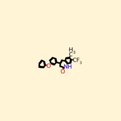 Cc1cc2c(cc1C(F)(F)F)NC(=O)CC(c1cccc(Oc3ccccc3)c1)=C2